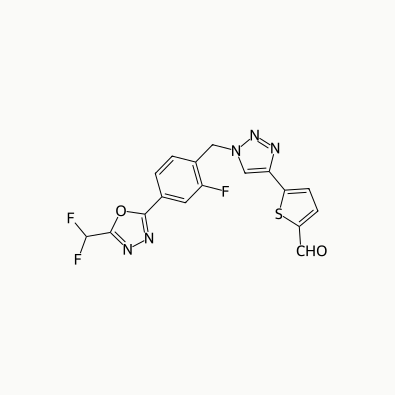 O=Cc1ccc(-c2cn(Cc3ccc(-c4nnc(C(F)F)o4)cc3F)nn2)s1